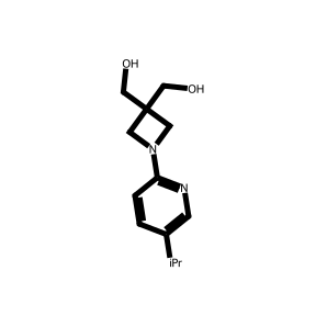 CC(C)c1ccc(N2CC(CO)(CO)C2)nc1